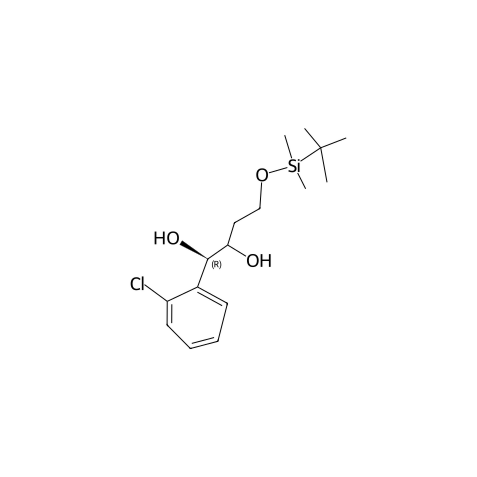 CC(C)(C)[Si](C)(C)OCCC(O)[C@H](O)c1ccccc1Cl